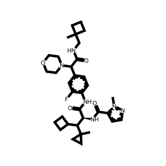 Cn1nccc1C(=O)N[C@H](C(=O)Nc1ccc(C(C(=O)NCC2(C)CCC2)N2CCOCC2)cc1F)C(C1CCC1)C1(C)CC1